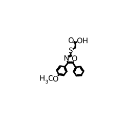 COc1ccc(-c2nc(SCC(=O)O)oc2-c2ccccc2)cc1